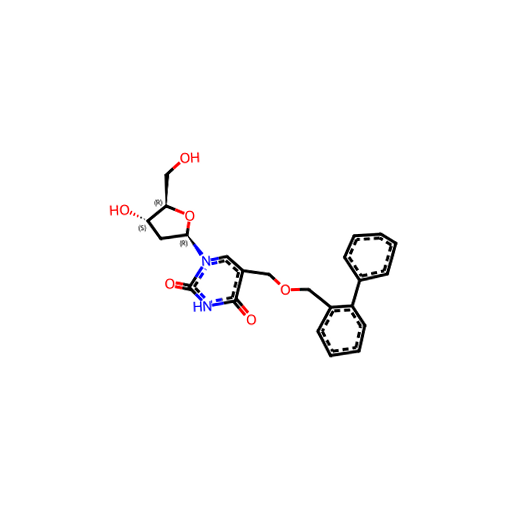 O=c1[nH]c(=O)n([C@H]2C[C@H](O)[C@@H](CO)O2)cc1COCc1ccccc1-c1ccccc1